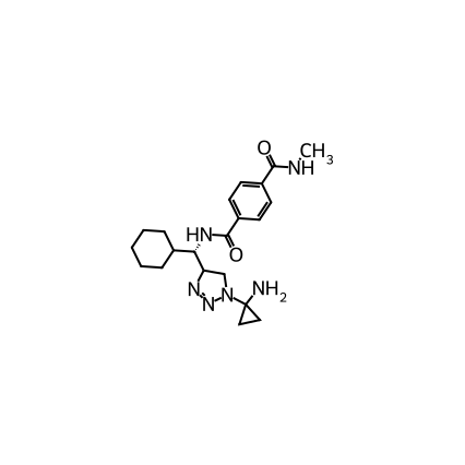 CNC(=O)c1ccc(C(=O)N[C@@H](C2CCCCC2)C2CN(C3(N)CC3)N=N2)cc1